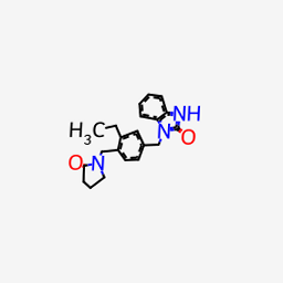 CCc1cc(Cn2c(=O)[nH]c3ccccc32)ccc1CN1CCCC1=O